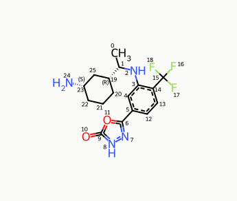 CC(Nc1cc(-c2n[nH]c(=O)o2)ccc1C(F)(F)F)[C@@H]1CCC[C@H](N)C1